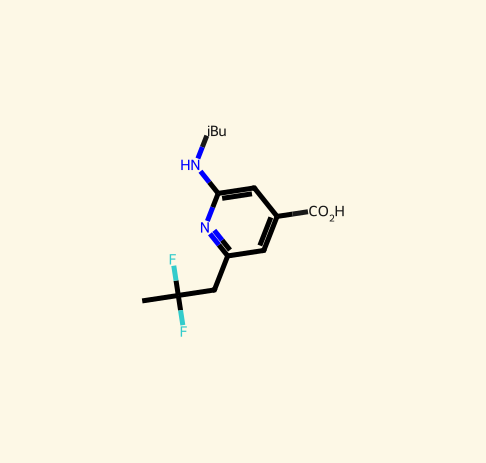 CCC(C)Nc1cc(C(=O)O)cc(CC(C)(F)F)n1